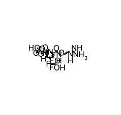 N=C(N)NCCONC(=O)[C@@H]1CC[C@@H]2CN1C(=O)N2OS(=O)(=O)O.O=C(O)C(F)(F)F